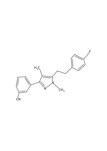 Cc1c(-c2cccc(C#N)c2)nn(C)c1CCc1ccc(F)cc1